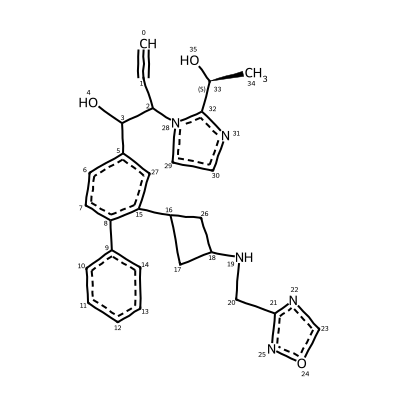 C#CC(C(O)c1ccc(-c2ccccc2)c(C2CC(NCc3ncon3)C2)c1)n1ccnc1[C@H](C)O